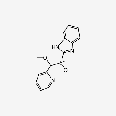 COC(c1ccccn1)[S+]([O-])c1nc2ccccc2[nH]1